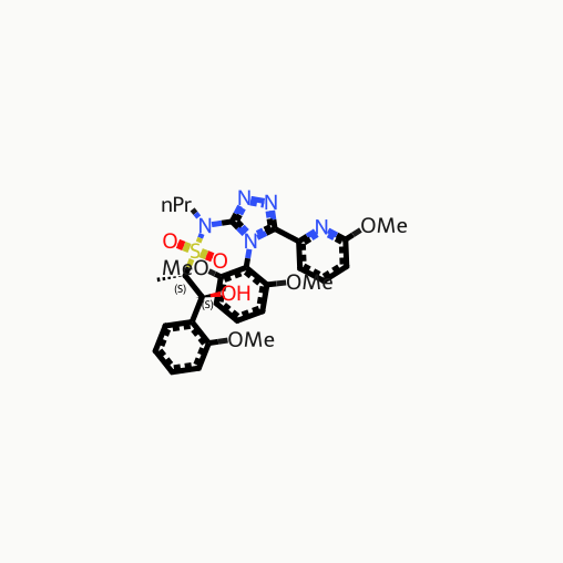 CCCN(c1nnc(-c2cccc(OC)n2)n1-c1c(OC)cccc1OC)S(=O)(=O)[C@@H](C)[C@@H](O)c1ccccc1OC